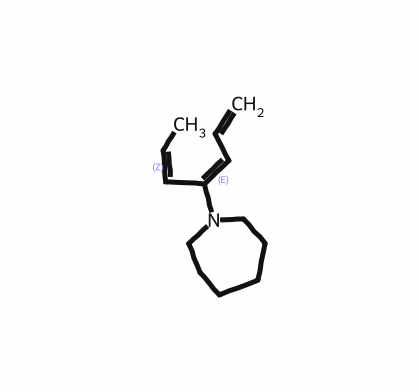 C=C/C=C(\C=C/C)N1CCCCCC1